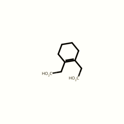 O=C(O)CC1=C(CC(=O)O)CCCC1